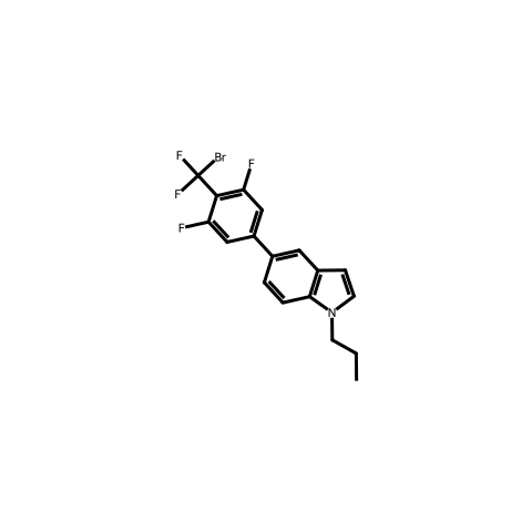 CCCn1ccc2cc(-c3cc(F)c(C(F)(F)Br)c(F)c3)ccc21